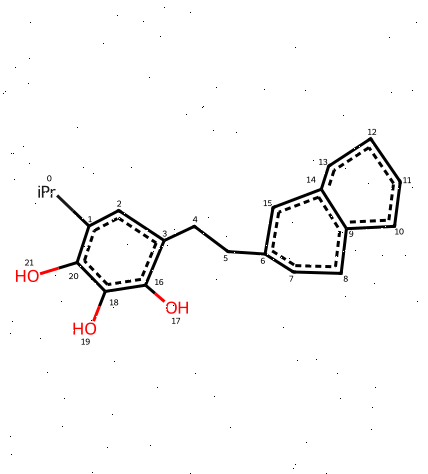 CC(C)c1cc(CCc2ccc3ccccc3c2)c(O)c(O)c1O